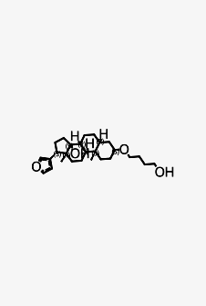 C[C@]12CC[C@H](OCCCCO)C[C@H]1CC[C@@H]1[C@@H]2CC[C@]2(C)[C@@H](c3ccoc3)CC[C@]12O